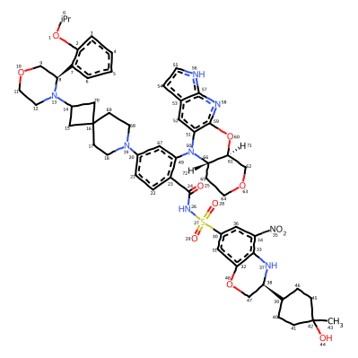 CC(C)Oc1ccccc1[C@@H]1COCCN1C1CC2(CCN(c3ccc(C(=O)NS(=O)(=O)c4cc5c(c([N+](=O)[O-])c4)N[C@@H](C4CCC(C)(O)CC4)CO5)c(N4c5cc6cc[nH]c6nc5O[C@H]5COCC[C@@H]54)c3)CC2)C1